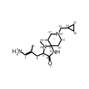 C/C(=C\N)CC1C(=O)NC2(CCN(CC3CC3)CC2)N1C